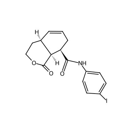 O=C1OCC[C@H]2C=CC[C@@H](C(=O)Nc3ccc(I)cc3)[C@@H]12